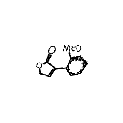 COc1ccccc1C1=CCOC1=O